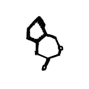 O=C1COC=c2ccccc2=N1